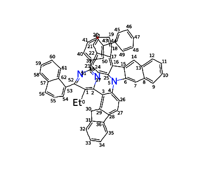 CCc1c(-c2c(-n3c4cc5ccccc5cc4c4c5ccccc5ccc43)ccc3c2Cc2ccccc2-3)nc(-c2cccc(-c3ccccc3)c2)nc1-c1cccc2ccccc12